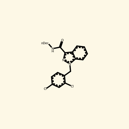 CCCCCCCCCCNC(=O)c1nn(Cc2ccc(Cl)cc2Cl)c2ccccc12